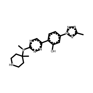 Cc1nnn(-c2ccc(-c3cnc(N(C)C4(C)CCNCC4)nn3)c(O)c2)n1